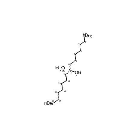 CCCCCCCCCCCCCCCC[As](O)CCCCCCCCCCCCCCCC.O